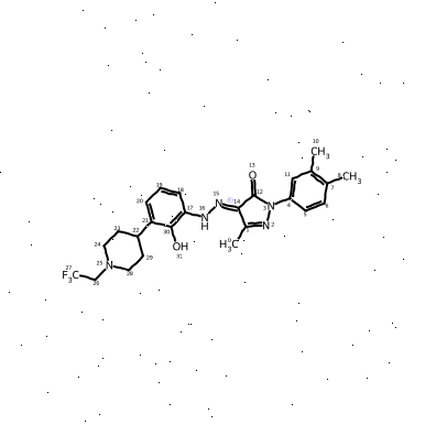 CC1=NN(c2ccc(C)c(C)c2)C(=O)/C1=N/Nc1cccc(C2CCN(CC(F)(F)F)CC2)c1O